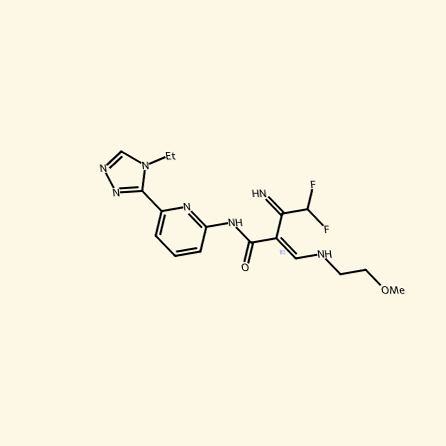 CCn1cnnc1-c1cccc(NC(=O)/C(=C/NCCOC)C(=N)C(F)F)n1